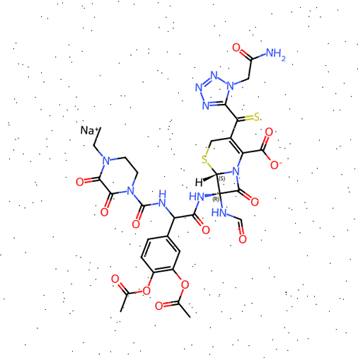 CCN1CCN(C(=O)NC(C(=O)N[C@]2(NC=O)C(=O)N3C(C(=O)[O-])=C(C(=S)c4nnnn4CC(N)=O)CS[C@H]32)c2ccc(OC(C)=O)c(OC(C)=O)c2)C(=O)C1=O.[Na+]